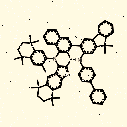 Cc1cc2c(cc1N1c3c(c(-c4cc5c(cc4Nc4ccc(-c6ccccc6)cc4)C(C)(C)c4ccccc4-5)cc4ccccc34)Bc3sc4cc5c(cc4c31)C(C)(C)CCC5(C)C)C(C)(C)CCC2(C)C